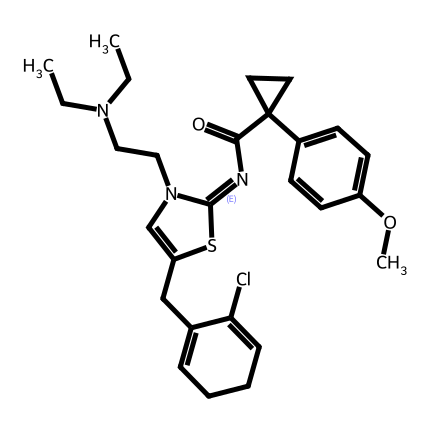 CCN(CC)CCn1cc(CC2=CCCC=C2Cl)s/c1=N/C(=O)C1(c2ccc(OC)cc2)CC1